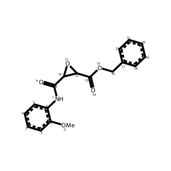 COc1ccccc1NC(=O)C1OC1C(=O)OCc1ccccc1